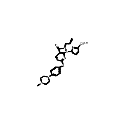 C=CCn1c(=O)c2cnc(Sc3ccc(N4CCN(C)CC4)cc3)nc2n1-c1cccc(OC)n1